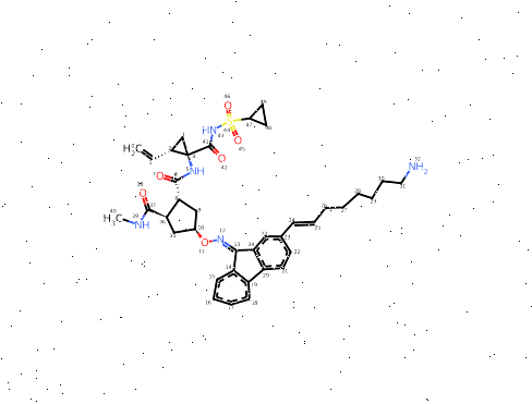 C=C[C@@H]1C[C@]1(NC(=O)[C@@H]1C[C@@H](O/N=C2\c3ccccc3-c3ccc(/C=C/CCCCCCN)cc32)C[C@H]1C(=O)NC)C(=O)NS(=O)(=O)C1CC1